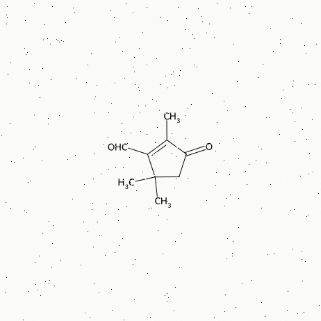 CC1=C(C=O)C(C)(C)CC1=O